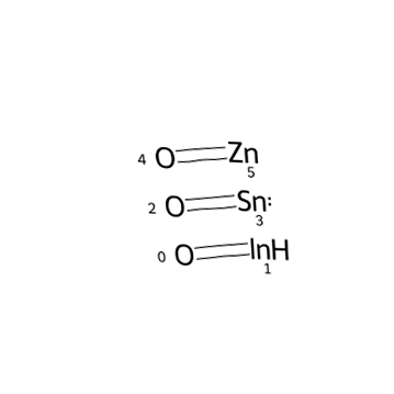 [O]=[InH].[O]=[Sn].[O]=[Zn]